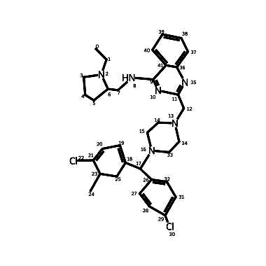 CCN1CCCC1CNc1nc(CN2CCN(C(C3=CC=C(Cl)C(C)C3)c3ccc(Cl)cc3)CC2)nc2ccccc12